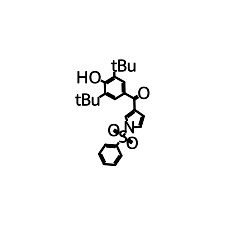 CC(C)(C)c1cc(C(=O)c2ccn(S(=O)(=O)c3ccccc3)c2)cc(C(C)(C)C)c1O